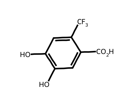 O=C(O)c1cc(O)c(O)cc1C(F)(F)F